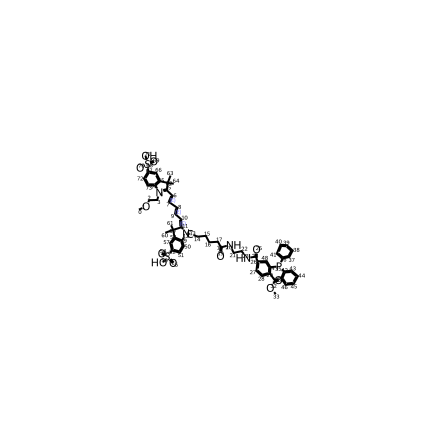 COCC[N+]1=C(/C=C/C=C/C=C2/N(CCCCCC(=O)NCCNC(=O)c3ccc(C(=O)OC)c(P(c4ccccc4)c4ccccc4)c3)c3ccc(S(=O)(=O)O)cc3C2(C)C)C(C)(C)c2cc(S(=O)(=O)O)ccc21